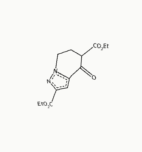 CCOC(=O)c1cc2n(n1)CCC(C(=O)OCC)C2=O